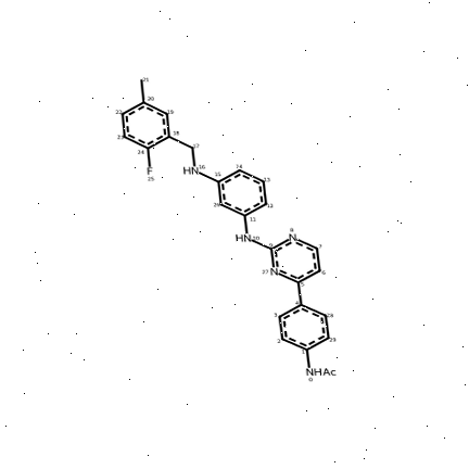 CC(=O)Nc1ccc(-c2ccnc(Nc3cccc(NCc4cc(C)ccc4F)c3)n2)cc1